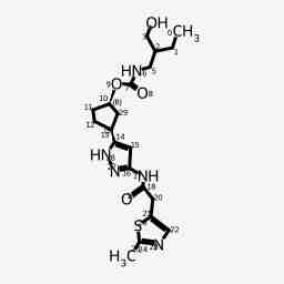 CCC(CO)CNC(=O)O[C@@H]1CC[C@H](c2cc(NC(=O)Cc3cnc(C)s3)n[nH]2)C1